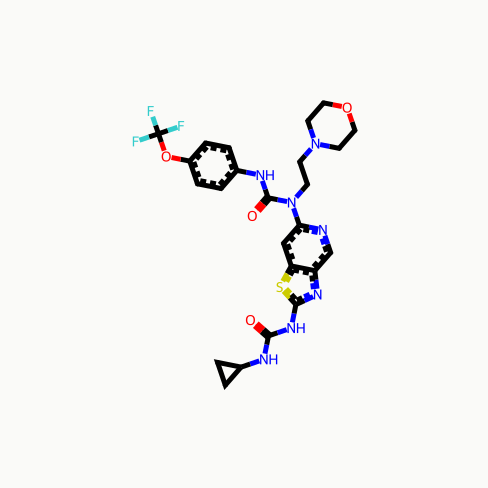 O=C(Nc1nc2cnc(N(CCN3CCOCC3)C(=O)Nc3ccc(OC(F)(F)F)cc3)cc2s1)NC1CC1